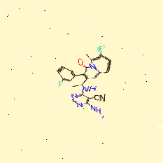 Cc1c(F)ccc2cc(C(C)Nc3ncnc(N)c3C#N)c(-c3cccc(F)c3)c(=O)n12